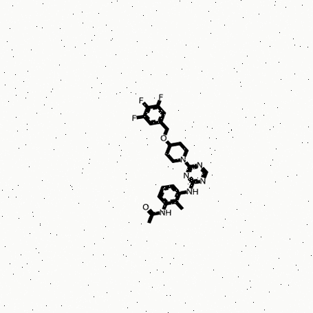 CC(=O)Nc1cccc(Nc2ncnc(N3CCC(OCc4cc(F)c(F)c(F)c4)CC3)n2)c1C